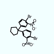 O=[N+]([O-])c1cc(C2(c3ccc(Br)c([N+](=O)[O-])c3)CCCCC2)ccc1Br